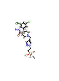 CS(=O)(=O)CCn1cc(CN2CCC3(CC2)C(=O)Nc2c(Cl)cc(Cl)cc23)cn1